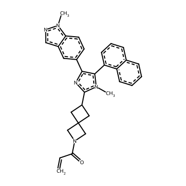 C=CC(=O)N1CC2(CC(c3nc(-c4ccc5c(cnn5C)c4)c(-c4cccc5ccccc45)n3C)C2)C1